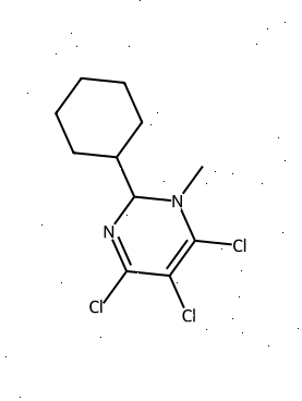 CN1C(Cl)=C(Cl)C(Cl)=NC1C1CCCCC1